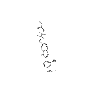 C=CC(=O)OC(C)(C)C(C)(C)Oc1ccc2cc(-c3ccc(CCCCC)cc3CC)oc2c1